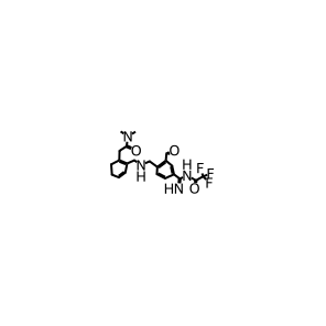 CN(C)C(=O)CC1=C(CNCc2ccc(C(=N)NC(=O)C(F)(F)F)cc2C=O)C=CCC1